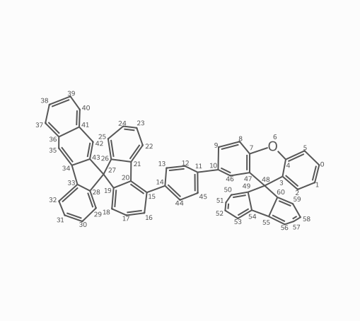 c1ccc2c(c1)Oc1ccc(-c3ccc(-c4cccc5c4-c4ccccc4C54c5ccccc5-c5cc6ccccc6cc54)cc3)cc1C21c2ccccc2-c2ccccc21